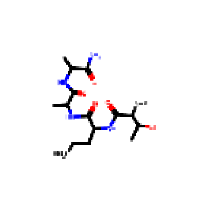 CC(=O)NC(C(=O)NC(CCC(=O)O)C(=O)NC(C)C(=O)NC(C)C(N)=O)C(C)O